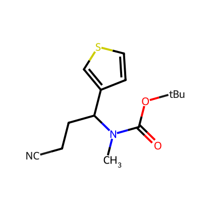 CN(C(=O)OC(C)(C)C)C(CCC#N)c1ccsc1